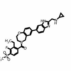 CCc1c(C(=O)N2CCOc3ccc(-c4ccc5nc(CNC6CC6)[nH]c5c4)cc3C2)ccc(S(C)(=O)=O)c1F